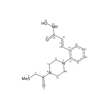 CSCC(=O)N1CCN(c2ccccc2/C=C/C(=O)NO)CC1